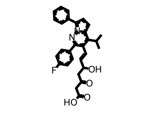 CC(C)c1c(/C=C/C(O)CC(=O)CC(=O)O)c(-c2ccc(F)cc2)nn2c(-c3ccccc3)ccc12